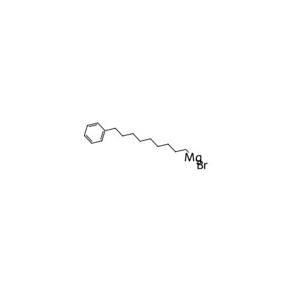 [Br][Mg][CH2]CCCCCCCCc1ccccc1